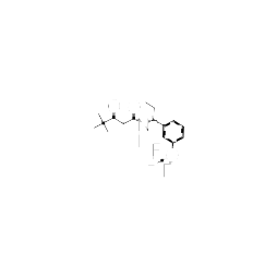 CC[C@H](NC(=O)CC(=O)C(C)(C)C)c1cccc(OC(F)(F)F)c1